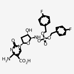 Nc1nc(=O)n([C@H]2C[C@H](O)[C@@H](NOP(=O)(OCc3ccc(F)cc3)OCc3ccc(F)cc3)O2)cc1C(=O)O